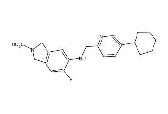 O=C(O)N1Cc2cc(F)c(NCc3ccc(C4CCCCC4)cn3)cc2C1